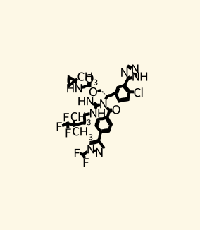 CC1(NC(=O)OC[C@H](c2ccc(Cl)c(-c3ncn[nH]3)c2)N(C(=N)NCCC(C)(C)C(F)(F)F)C(=O)c2ccc(-c3cnn(C(F)F)c3)cc2)CC1